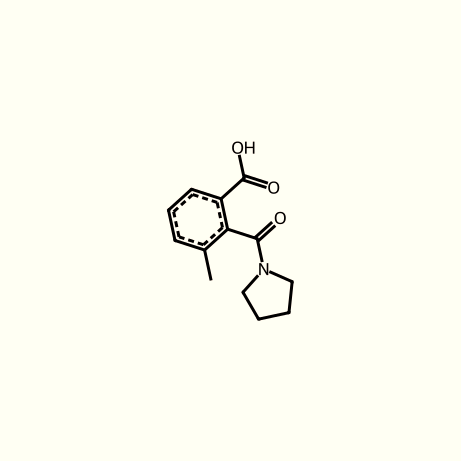 Cc1cccc(C(=O)O)c1C(=O)N1CCCC1